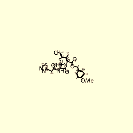 COc1ccc(COC(=O)C2=C(C)C(=CCl)S[C@H]3C(NC(=O)Cc4nncs4)C(=O)N23)cc1